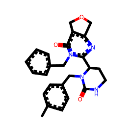 Cc1ccc(CN2C(=O)NCCC2c2nc3c(c(=O)n2Cc2ccccc2)COC3)cc1